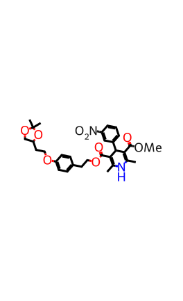 COC(=O)C1=C(C)NC(C)=C(C(=O)OCCc2ccc(OCCC3COC(C)(C)O3)cc2)C1c1cccc([N+](=O)[O-])c1